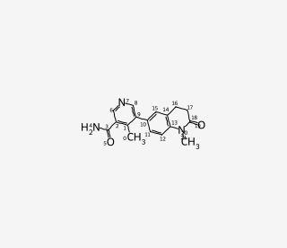 Cc1c(C(N)=O)cncc1-c1ccc2c(c1)CCC(=O)N2C